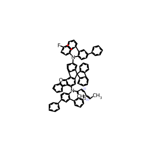 C=C(/C=C\C(F)=C/C)N(c1ccc(-c2ccccc2)cc1-c1ccccc1)c1cc2c(c3oc4ccccc4c13)-c1ccc(N(c3ccc(F)cc3)c3ccc(-c4ccccc4)cc3-c3ccccc3)cc1C21c2ccccc2-c2ccccc21